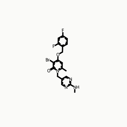 CNc1ncc(Cn2c(C)cc(OCc3ccc(F)cc3F)c(Br)c2=O)cn1